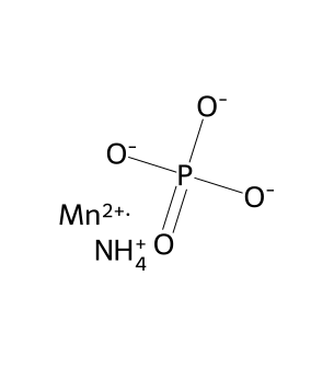 O=P([O-])([O-])[O-].[Mn+2].[NH4+]